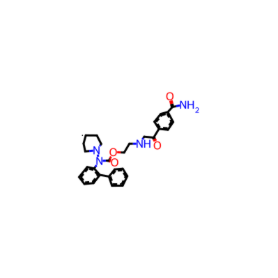 NC(=O)c1ccc(C(=O)CNCCOC(=O)N(c2ccccc2-c2ccccc2)N2CC[CH]CC2)cc1